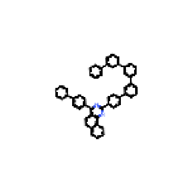 c1ccc(-c2ccc(-c3nc(-c4ccc(-c5cccc(-c6cccc(-c7cccc(-c8ccccc8)c7)c6)c5)cc4)nc4c3ccc3ccccc34)cc2)cc1